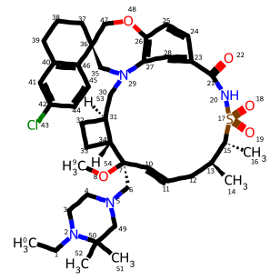 CCN1CCN(C[C@@]2(OC)/C=C/C[C@H](C)[C@@H](C)S(=O)(=O)NC(=O)c3ccc4c(c3)N(C[C@@H]3CC[C@H]32)C[C@@]2(CCCc3cc(Cl)ccc32)CO4)CC1(C)C